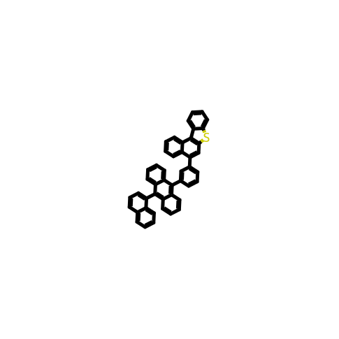 c1cc(-c2c3ccccc3c(-c3cccc4ccccc34)c3ccccc23)cc(-c2cc3sc4ccccc4c3c3ccccc23)c1